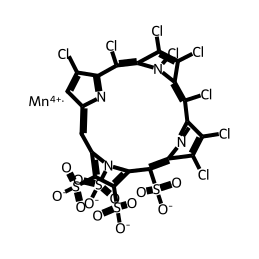 O=S(=O)([O-])c1c(S(=O)(=O)[O-])c2c(S(=O)(=O)[O-])c3nc(c(Cl)c4c(Cl)c(Cl)c(c(Cl)c5nc(cc1n2S(=O)(=O)[O-])C=C5Cl)n4Cl)C(Cl)=C3Cl.[Mn+4]